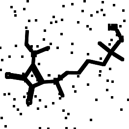 CCN(C)c1c(N(C)CCCCC(C)(C)SS)c(=O)c1=O